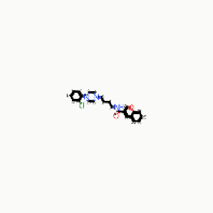 O=C(NCCCCN1CCN(c2ccccc2Cl)CC1)C1=Cc2ccccc2OC1